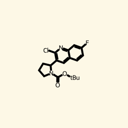 CC(C)(C)OC(=O)N1CCCC1c1cc2ccc(F)cc2nc1Cl